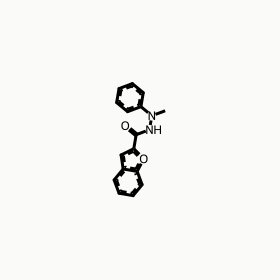 CN(NC(=O)c1cc2ccccc2o1)c1ccccc1